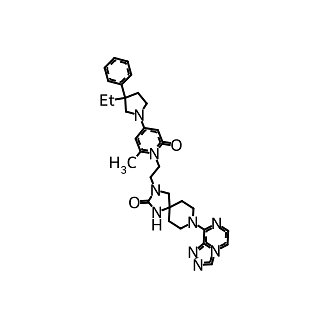 CCC1(c2ccccc2)CCN(c2cc(C)n(CCN3CC4(CCN(c5nccn6cnnc56)CC4)NC3=O)c(=O)c2)C1